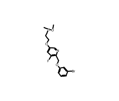 CON(C)CCOc1cnc(COc2cccc(Br)c2)c(F)c1